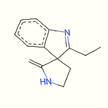 C=C1NCCC12C(CC)=Nc1ccccc12